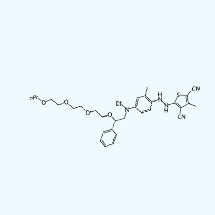 CCCOCCOCCOCCOC(CN(CC)c1ccc(NNc2sc(C#N)c(C)c2C#N)c(C)c1)c1ccccc1